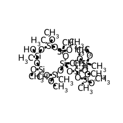 CO[Si](C)(OC)O[Si](C)(O[Si](C)(OC)OC)O[Si]1(C)O[Si](C)(OC)O[Si](C)(OC)O[Si](C)(O)O[Si](C)(OC)O[Si](C)(OC)O1